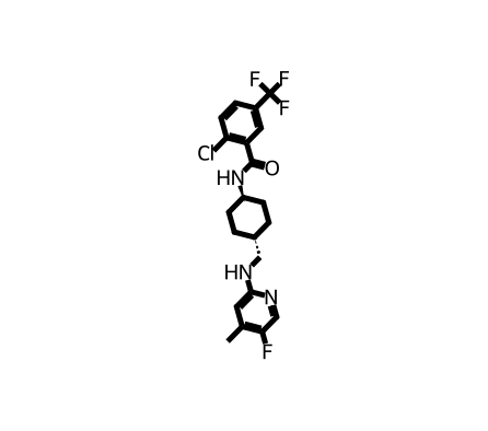 Cc1cc(NC[C@H]2CC[C@H](NC(=O)c3cc(C(F)(F)F)ccc3Cl)CC2)ncc1F